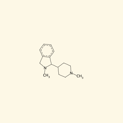 CN1CCC(C2c3ccccc3CN2C)CC1